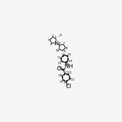 C[C@H]1CCCN1[C@H]1CC[C@H](c2ccc(NC(=O)c3ccc(Cl)cc3)cc2)C1